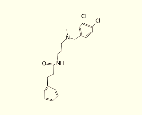 CN(CCCNC(=O)CCc1ccccc1)Cc1ccc(Cl)c(Cl)c1